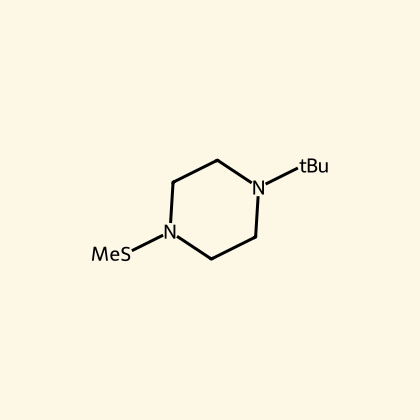 CSN1CCN(C(C)(C)C)CC1